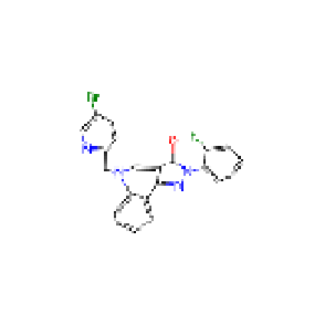 O=c1c2cn(Cc3ccc(Br)cn3)c3ccccc3c-2nn1-c1ccccc1F